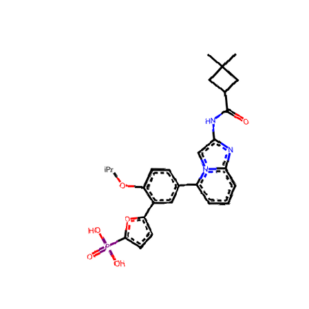 CC(C)Oc1ccc(-c2cccc3nc(NC(=O)C4CC(C)(C)C4)cn23)cc1-c1ccc(P(=O)(O)O)o1